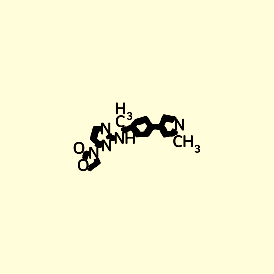 Cc1cc(-c2ccc(C(C)Nc3nccc(N4CCOC4=O)n3)cc2)ccn1